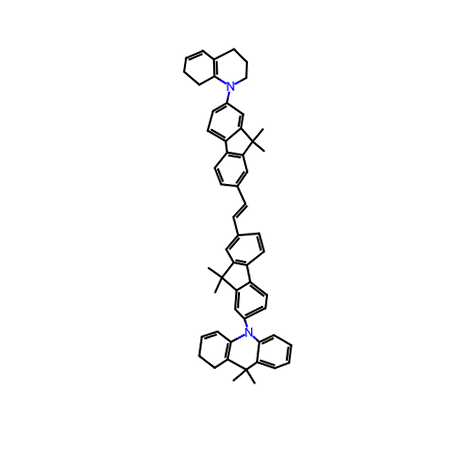 CC1(C)C2=C(C=CCC2)N(c2ccc3c(c2)C(C)(C)c2cc(/C=C/c4ccc5c(c4)C(C)(C)c4cc(N6CCCC7=C6CCC=C7)ccc4-5)ccc2-3)c2ccccc21